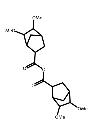 COC1C2CC(C(=O)OC(=O)C3CC4CC3C(OC)C4OC)C(C2)C1OC